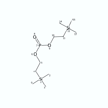 C[Si](C)(C)CCO[P](=O)OCC[Si](C)(C)C